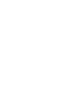 CC1C=C(n2c3ccccc3c3cc(-c4ccc(N(CC5C=C6C(=CC5)c5ccccc5C6(C)C)c5ccccn5)cc4)ccc32)C=CC1